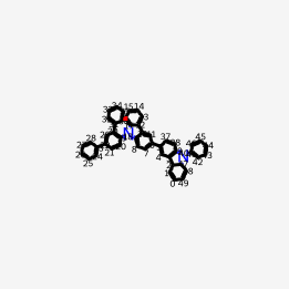 C1=CC2c3cc(-c4ccc5c(c4)c4ccccc4n5-c4ccc(-c5ccccc5)cc4-c4ccccc4)ccc3N(c3ccccc3)C2C=C1